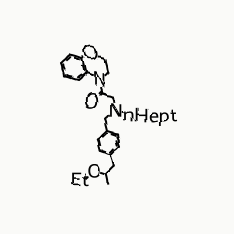 CCCCCCCN(CC(=O)N1CCOc2ccccc21)Cc1ccc(CC(C)OCC)cc1